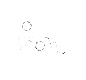 COC(=O)[C@]1(c2cc(F)c(CN3[C@@H](C)CC[C@H](c4ccccc4)S3(=O)=O)cc2F)C[C@@](C)(NC(C)=O)C1